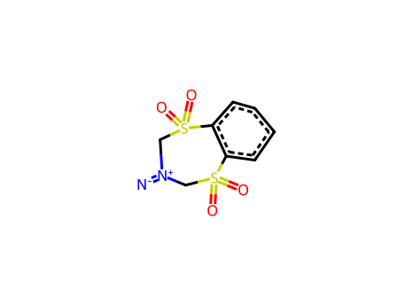 [N-]=[N+]1CS(=O)(=O)c2ccccc2S(=O)(=O)C1